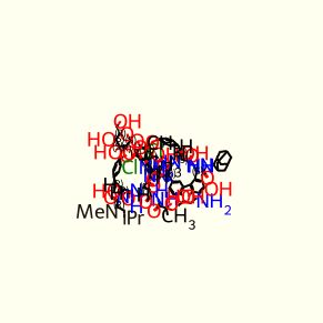 CN[C@H](CC(C)C)C(=O)N[C@H]1C(=O)N[C@@H](CC(=O)NC(=O)C(C)OCCCCN)C(=O)N[C@H]2C(=O)N[C@H]3C(=O)N[C@H](C(=O)N[C@H](C(=O)NC4C5CC6CC(C5)CC4C6)c4cc(O)cc(O)c4-c4cc3ccc4O)[C@H](O)c3ccc(c(Cl)c3)Oc3cc2cc(c3O[C@@H]2O[C@H](CO)[C@@H](O)[C@H](O)[C@H]2O[C@H]2C[C@](C)(N)[C@H](O)[C@H](C)O2)Oc2ccc(cc2Cl)[C@H]1O